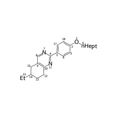 CCCCCCCOc1ccc(-c2ncc3c(n2)CCC(CC)C3)cc1